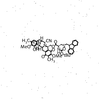 COC1=C(C)C(=O)C2=C(C1=O)[C@H](COC(=O)[C@@H](CSCC1c3ccccc3-c3ccccc31)NC(=O)OC(C)(C)C)N1[C@@H](C#N)[C@H]3Cc4cc(C)c(OC)c(O)c4[C@H]([C@@H]1C2)N3C